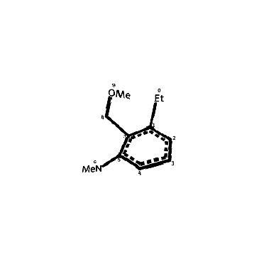 CCc1cccc(NC)c1COC